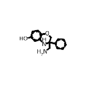 NCC1(c2ccccc2)COc2ccc(O)cc2N1